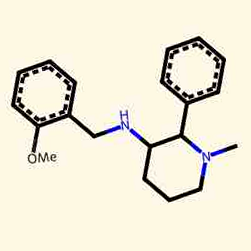 COc1ccccc1CNC1CCCN(C)C1c1ccccc1